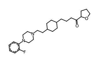 O=C(CCCC1CCC(CCN2CCN(c3ccccc3F)CC2)CC1)C1CCCO1